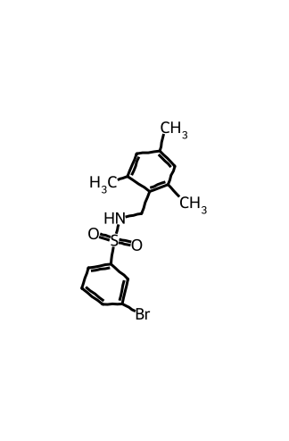 Cc1cc(C)c(CNS(=O)(=O)c2cccc(Br)c2)c(C)c1